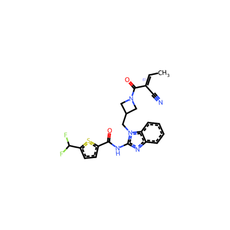 C/C=C(\C#N)C(=O)N1CC(Cn2c(NC(=O)c3ccc(C(F)F)s3)nc3ccccc32)C1